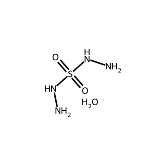 NNS(=O)(=O)NN.O